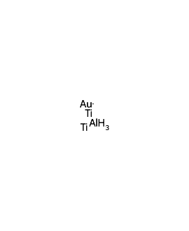 [AlH3].[Au].[Ti].[Ti]